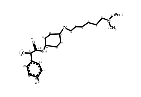 CCCCCN(C)CCCCCCOC1CCC(NC(=O)C(C)c2ccc(F)cc2)CC1